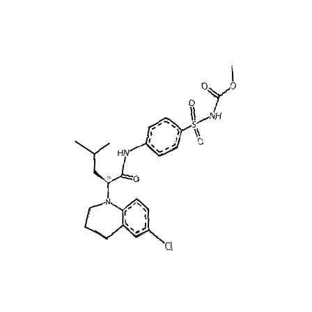 COC(=O)NS(=O)(=O)c1ccc(NC(=O)[C@H](CC(C)C)N2CCCc3cc(Cl)ccc32)cc1